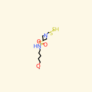 COCCCCCNS(=O)(=O)C1CN(CSS)C1